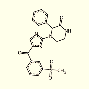 CS(=O)(=O)c1cccc(C(=O)c2cnc(N3CCNC(=O)C3c3ccccc3)s2)c1